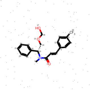 CN(C(=O)/C=C/c1ccc(C(F)(F)F)cc1)[C@@H](COCO)c1ccccc1